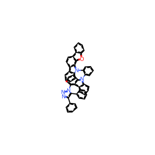 c1ccc(-c2nnn(-c3cccc4c3c3ccccc3n4-c3ccccc3-n3c4ccccc4c4ccc5c6ccccc6oc5c43)c2-c2ccccc2)cc1